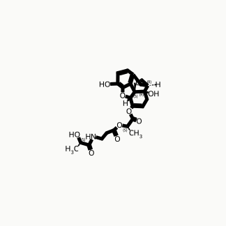 C[C@H](O)C(=O)NCCC(=O)O[C@@H](C)C(=O)OC1=CC[C@@]2(O)[C@@H]3CCC[C@@]24c2c(ccc(O)c2O[C@@H]14)C3